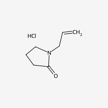 C=CCN1CCCC1=O.Cl